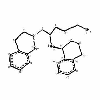 NCCCC(C[C@H]1CCc2ccccc2N1)N[C@H]1CCCc2cccnc21